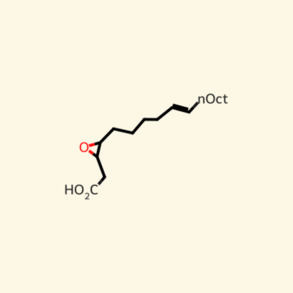 CCCCCCCCC=CCCCCC1OC1CC(=O)O